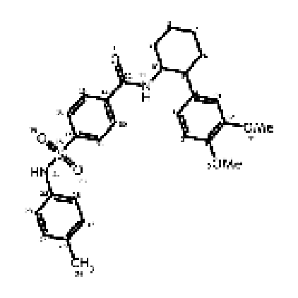 COc1ccc(C2CCCCC2NC(=O)c2ccc(S(=O)(=O)Nc3ccc(C)cc3)cc2)cc1OC